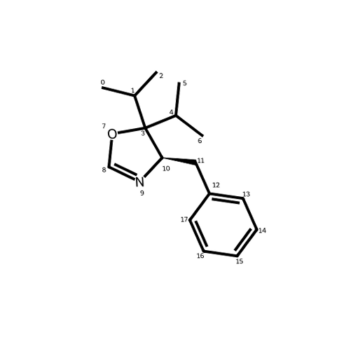 CC(C)C1(C(C)C)OC=N[C@@H]1Cc1ccccc1